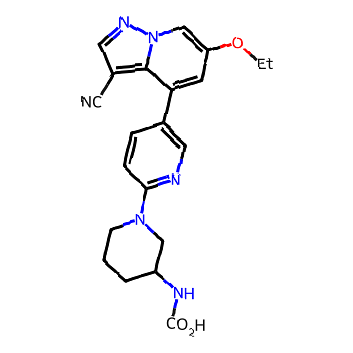 CCOc1cc(-c2ccc(N3CCCC(NC(=O)O)C3)nc2)c2c(C#N)cnn2c1